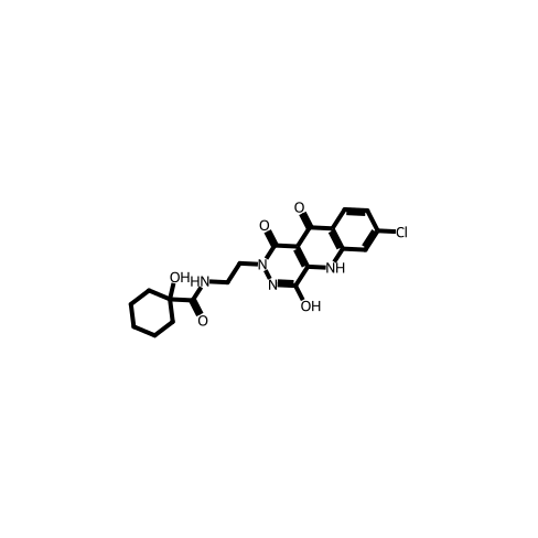 O=C(NCCn1nc(O)c2[nH]c3cc(Cl)ccc3c(=O)c2c1=O)C1(O)CCCCC1